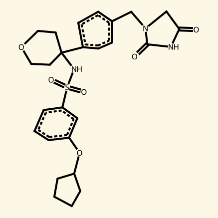 O=C1CN(Cc2ccc(C3(NS(=O)(=O)c4cccc(OC5CCCC5)c4)CCOCC3)cc2)C(=O)N1